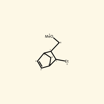 CCC1C2C=CC(C2)C1COC